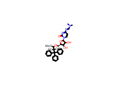 COC(OC[C@H]1O[C@@H](n2ccc(N=CN(C)C)nc2=O)C(O)C1O)C(C#N)(OC)C(c1ccccc1)(c1ccccc1)c1ccccc1